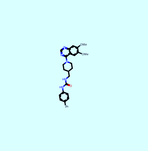 COc1cc2ncnc(N3CCC(CNC(=O)Nc4ccc(C(C)C)cc4)CC3)c2cc1OC